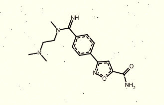 CN(C)CCN(C)C(=N)c1ccc(-c2cc(C(N)=O)on2)cc1